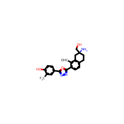 N[C@@]1(CO)CCc2ccc(-c3nnc(-c4ccc(O)c(C(F)(F)F)c4)o3)c(C=O)c2C1